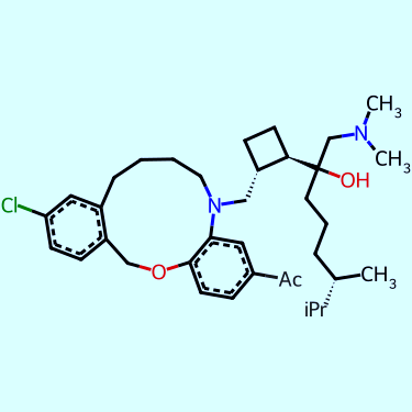 CC(=O)c1ccc2c(c1)N(C[C@@H]1CC[C@H]1C(O)(CCC[C@H](C)C(C)C)CN(C)C)CCCCc1cc(Cl)ccc1CO2